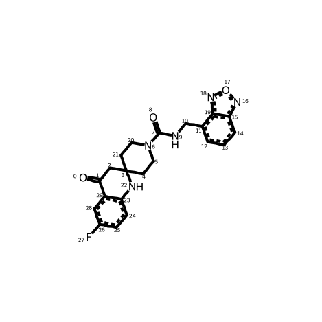 O=C1CC2(CCN(C(=O)NCc3cccc4nonc34)CC2)Nc2ccc(F)cc21